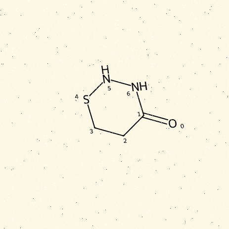 O=C1CCSNN1